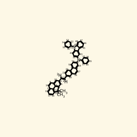 [2H]/C(=C(/[2H])c1cc2c3c(ccc4cccc(c43)C2(C)C)c1)c1ccc2c(ccc3cc(N(c4ccccc4)c4ccc5c(c4)c4ccccc4n5-c4ccccc4)ccc32)c1